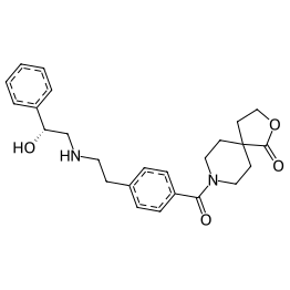 O=C(c1ccc(CCNC[C@H](O)c2ccccc2)cc1)N1CCC2(CCOC2=O)CC1